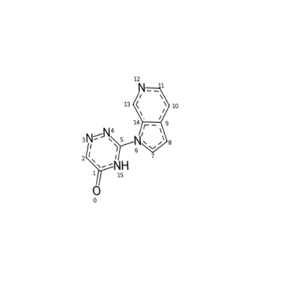 O=c1cnnc(-n2ccc3ccncc32)[nH]1